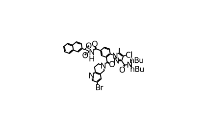 CCCCN(CCCC)C(=O)c1nn(-c2ccc(C(=O)NS(=O)(=O)c3ccc4ccccc4c3)cc2C(=O)N2CCc3ncc(Br)cc3C2)c(C)c1Cl